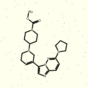 CC(C)(C)OC(=O)N1CCC(N2CCC=C(c3cnc4ccc(N5CCCC5)nn34)C2)CC1